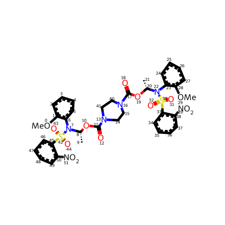 COc1ccccc1N([C@@H](C)OC(=O)N1CCN(C(=O)O[C@H](C)N(c2ccccc2OC)S(=O)(=O)c2ccccc2[N+](=O)[O-])CC1)S(=O)(=O)c1ccccc1[N+](=O)[O-]